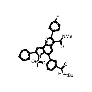 CNC(=O)c1c(-c2ccc(F)cc2)oc2c1cc(-c1cccc(C(=O)NC(C)(C)C)c1)c1c2cc(-c2ccccc2)n1S(C)(=O)=O